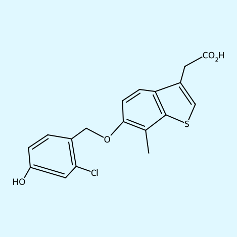 Cc1c(OCc2ccc(O)cc2Cl)ccc2c(CC(=O)O)csc12